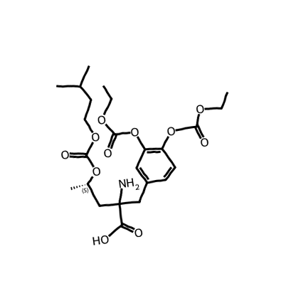 CCOC(=O)Oc1ccc(CC(N)(C[C@H](C)OC(=O)OCCC(C)C)C(=O)O)cc1OC(=O)OCC